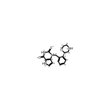 O=c1[nH]c(=S)n(Cc2ccccc2[C@@H]2CNCCO2)c2cc[nH]c12